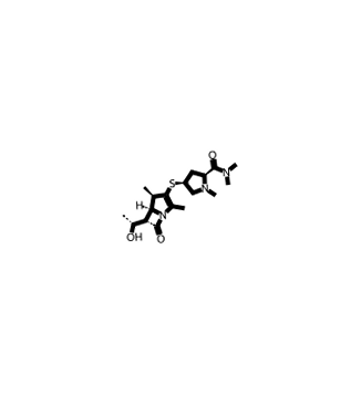 CC1=C(S[C@H]2C[C@@H](C(=O)N(C)C)N(C)C2)[C@H](C)[C@@H]2[C@@H]([C@@H](C)O)C(=O)N12